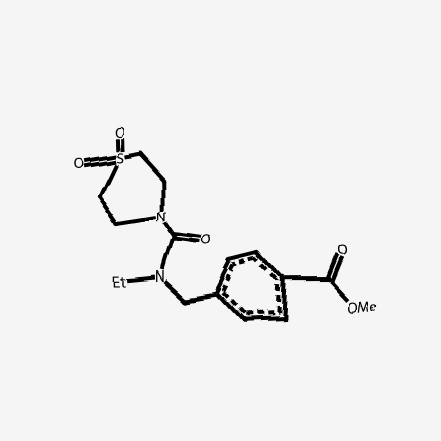 CCN(Cc1ccc(C(=O)OC)cc1)C(=O)N1CCS(=O)(=O)CC1